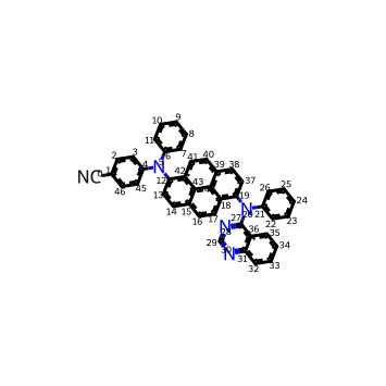 N#Cc1ccc(N(c2ccccc2)c2ccc3ccc4c(N(c5ccccc5)c5ncnc6ccccc56)ccc5ccc2c3c54)cc1